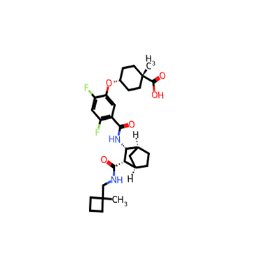 CC1(CNC(=O)[C@H]2[C@@H]3CC[C@@H](C3)[C@H]2NC(=O)c2cc(O[C@H]3CC[C@@](C)(C(=O)O)CC3)c(F)cc2F)CCC1